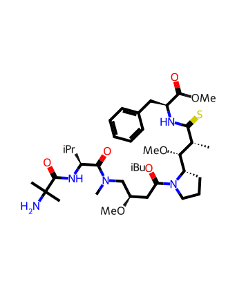 CC[C@H](C)C([C@@H](CC(=O)N1CCC[C@H]1[C@H](OC)[C@@H](C)C(=S)N[C@@H](Cc1ccccc1)C(=O)OC)OC)N(C)C(=O)[C@@H](NC(=O)C(C)(C)N)C(C)C